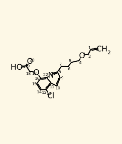 C=CCOCCCCc1ccc2c(Cl)ccc(OCC(=O)O)c2n1